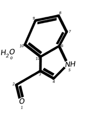 O.O=Cc1c[nH]c2ccccc12